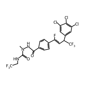 CN(NC(=O)c1ccc(C(F)=CC(c2cc(Cl)c(Cl)c(Cl)c2)C(F)(F)F)cc1)C(=O)NCC(F)(F)F